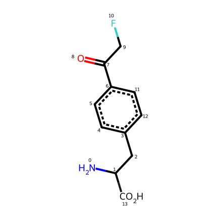 NC(Cc1ccc(C(=O)CF)cc1)C(=O)O